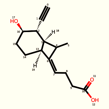 C#C[C@@H]1[C@H]2C(C)C(=CCCC(=O)O)[C@H]2CC[C@H]1O